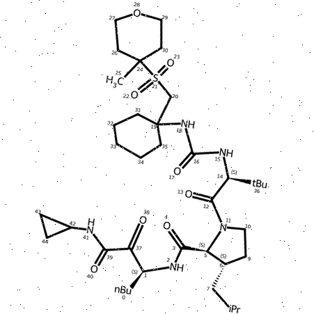 CCCC[C@H](NC(=O)[C@@H]1[C@@H](CC(C)C)CCN1C(=O)[C@@H](NC(=O)NC1(CS(=O)(=O)C2(C)CCOCC2)CCCCC1)C(C)(C)C)C(=O)C(=O)NC1CC1